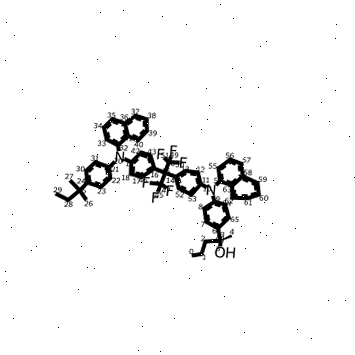 CCC[C@@](C)(O)c1ccc(N(c2ccc(C(c3ccc(N(c4ccc(C(C)(C)CC)cc4)c4cccc5ccccc45)cc3)(C(F)(F)F)C(F)(F)F)cc2)c2cccc3ccccc23)cc1